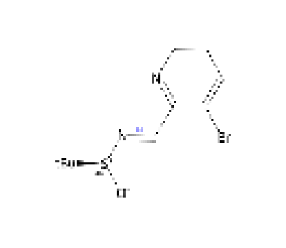 CC(C)(C)[S@+]([O-])/N=C/c1ncccc1Br